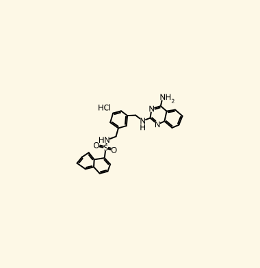 Cl.Nc1nc(NCc2cccc(CNS(=O)(=O)c3cccc4ccccc34)c2)nc2ccccc12